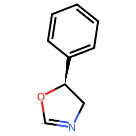 [C]1=NC[C@H](c2ccccc2)O1